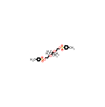 Cc1ccc(S(=O)(=O)OCCCOC(C)(C)C(C)(C)OCCCOS(=O)(=O)c2ccc(C)cc2)cc1